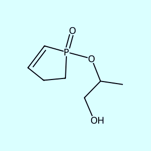 CC(CO)OP1(=O)C=CCC1